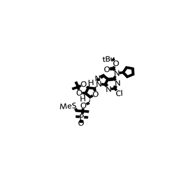 CSCC(C)(OC[C@H]1O[C@@H](n2ncc3c(N(C(=O)OC(C)(C)C)C4CCCC4)nc(Cl)nc32)[C@@H]2OC(C)(C)O[C@@H]21)P(C)(C)=O